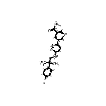 CC(C)(CNc1ccc(-c2cncc(C(N)=O)c2)nn1)c1ccc(F)cc1